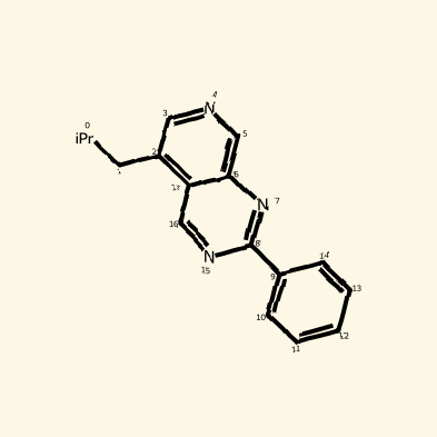 CC(C)Cc1cncc2nc(-c3ccccc3)ncc12